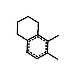 Cc1ccc2c(c1C)CCCC2